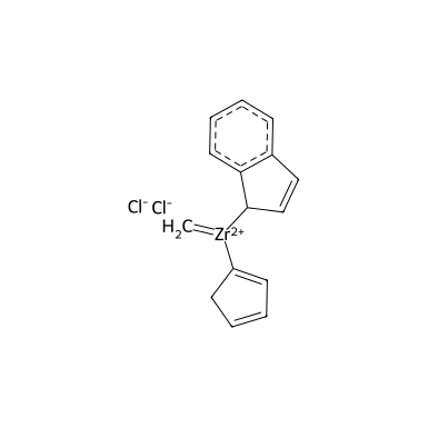 [CH2]=[Zr+2]([C]1=CC=CC1)[CH]1C=Cc2ccccc21.[Cl-].[Cl-]